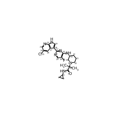 CC(C)(C(=O)NC1CC1)N1CCC[C@H](Nc2nc(-c3c[nH]c4ncc(Cl)cc34)ncc2F)C1